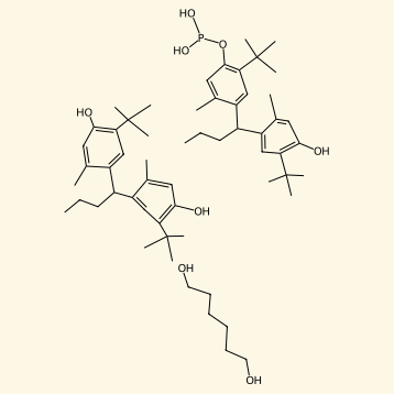 CCCC(c1cc(C(C)(C)C)c(O)cc1C)c1cc(C(C)(C)C)c(O)cc1C.CCCC(c1cc(C(C)(C)C)c(O)cc1C)c1cc(C(C)(C)C)c(OP(O)O)cc1C.OCCCCCCO